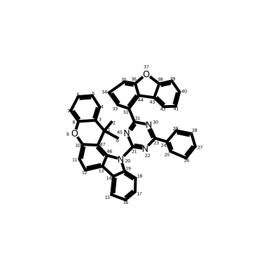 CC1(C)c2ccccc2Oc2ccc3c4ccccc4n(-c4nc(-c5ccccc5)nc(-c5cccc6oc7ccccc7c56)n4)c3c21